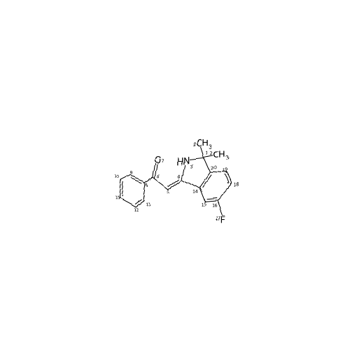 CC1(C)N/C(=C\C(=O)c2ccccc2)c2cc(F)ccc21